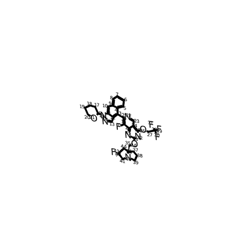 Fc1c(-c2c3ccccc3cc3c2cnn3C2CCCCO2)ncc2c(OCC(F)(F)F)nc(OC[C@@]34CCCN3C[C@H](F)C4)nc12